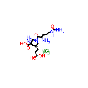 Cl.Cl.NC(=O)NCCC[C@H](N)C(=O)N1C[C@@H](CCB(O)O)C[C@](N)(C(=O)O)C1